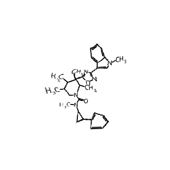 CC1CN(C(=O)N(C)C2CC2c2ccccc2)C(C)C(C)(c2nc(-c3cn(C)c4ccccc34)no2)C1C